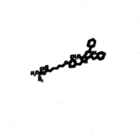 Cc1cc(Cc2nc3c(Cc4ccccc4)[nH]c(C4=CCCC=C4)cn-3c2=O)ccc1OCCCCCC(=O)OC(C)(C)C